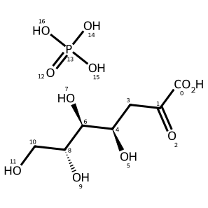 O=C(O)C(=O)C[C@@H](O)[C@H](O)[C@H](O)CO.O=P(O)(O)O